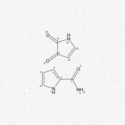 NC(=O)c1ccc[nH]1.O=C1C=CNC1=O